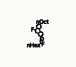 CCCCCCCCc1ccc2c(c1)c(F)cc1cc(OCC(F)CCCCCC)ccc12